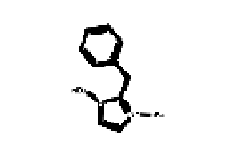 CCCCn1cc[n+](CCCC)c1Cc1ccccc1